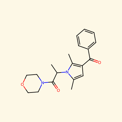 Cc1cc(C(=O)c2ccccc2)c(C)n1C(C)C(=O)N1CCOCC1